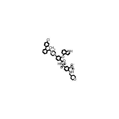 C[C@@H](c1ccccc1-c1ccc(Cl)cc1)N1CCN(c2ccc(C(=O)NS(=O)(=O)c3ccc(NCC4CCOCC4)c([N+](=O)[O-])c3)c(Oc3cccc4[nH]ccc34)c2)CC1